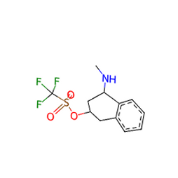 CNC1CC(OS(=O)(=O)C(F)(F)F)Cc2ccccc21